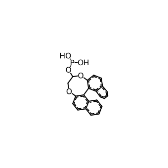 OP(O)OC1COc2ccc3ccccc3c2-c2c(ccc3ccccc23)O1